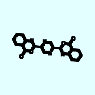 O=c1oc(-c2cnc(-c3nc4ccccc4c(=O)o3)cn2)nc2ccccc12